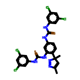 CC1=CC(C)(c2ccc(NC(=S)Nc3cc(Cl)cc(Cl)c3)cc2NC(=S)Nc2cc(Cl)cc(Cl)c2)N=N1